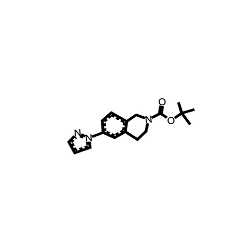 CC(C)(C)OC(=O)N1CCc2cc(-n3cccn3)ccc2C1